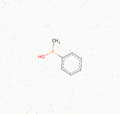 CP(O)c1ccccc1